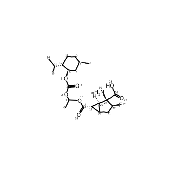 CC(OC(=O)O[C@@H]1C[C@H](C)CC[C@H]1C(C)C)OC(=O)[C@H]1C2C[C@H](F)[C@@](N)(C(=O)O)[C@@H]21